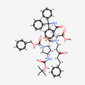 COC(=O)[C@@H](CC(=O)NC(c1ccccc1)(c1ccccc1)c1ccccc1)N(CCC(=O)CCc1ccccc1)C(=O)[C@@H]1C[C@@H](NC(=O)OC(C)(C)C)CN1C(=O)OCc1ccccc1